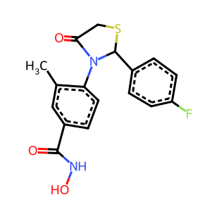 Cc1cc(C(=O)NO)ccc1N1C(=O)CSC1c1ccc(F)cc1